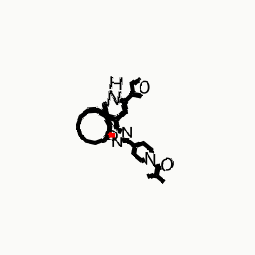 CC(C)C(=O)N1CCC(c2noc(C3CC(C4CCOC4)NCC34CCCCCCCCCC4)n2)CC1